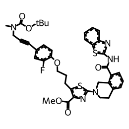 COC(=O)c1nc(N2CCc3cccc(C(=O)Nc4nc5ccccc5s4)c3C2)sc1CCCOc1ccc(C#CCN(C)C(=O)OC(C)(C)C)cc1F